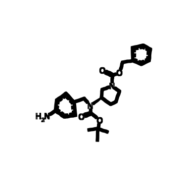 CC(C)(C)OC(=O)N(Cc1ccc(N)cc1)[C@@H]1CCCN(C(=O)OCc2ccccc2)C1